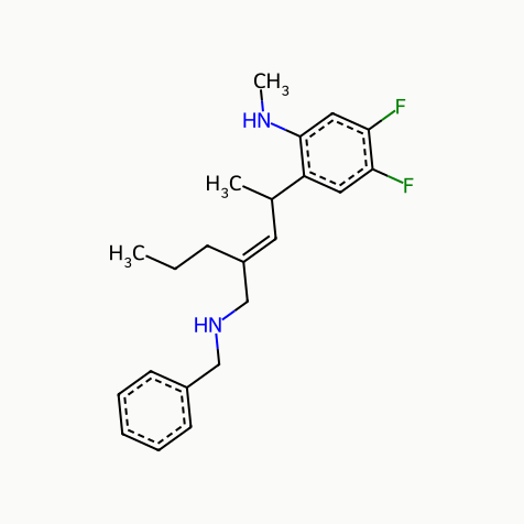 CCC/C(=C\C(C)c1cc(F)c(F)cc1NC)CNCc1ccccc1